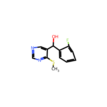 CSc1ncncc1C(O)c1ccccc1F